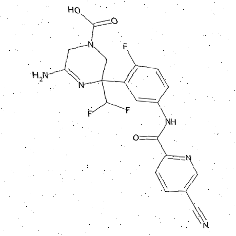 N#Cc1ccc(C(=O)Nc2ccc(F)c(C3(C(F)F)CN(C(=O)O)CC(N)=N3)c2)nc1